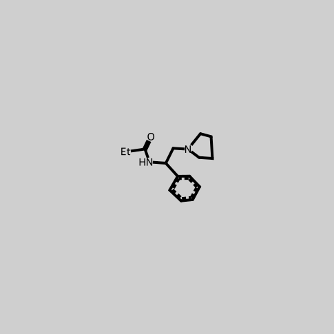 CCC(=O)NC(CN1CCCC1)c1ccccc1